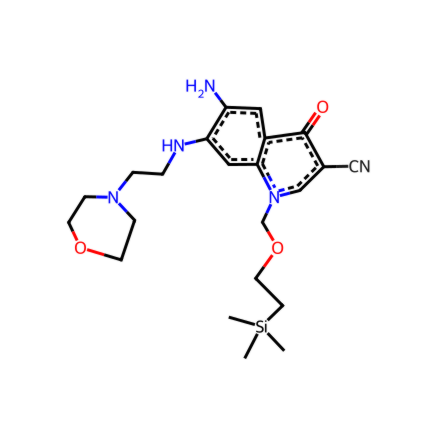 C[Si](C)(C)CCOCn1cc(C#N)c(=O)c2cc(N)c(NCCN3CCOCC3)cc21